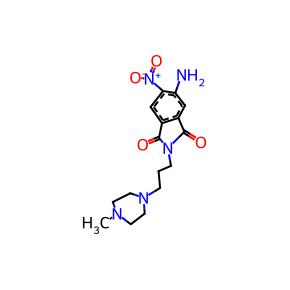 CN1CCN(CCCN2C(=O)c3cc(N)c([N+](=O)[O-])cc3C2=O)CC1